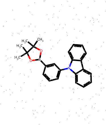 CC1(C)OB(c2c[c]cc(-n3c4ccccc4c4ccccc43)c2)OC1(C)C